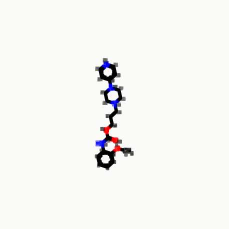 COc1ccccc1NC(=O)OCCCN1CCN(c2ccncc2)CC1